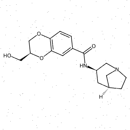 O=C(N[C@@H]1C[C@@H]2CCN(C2)C1)c1ccc2c(c1)O[C@@H](CO)CO2